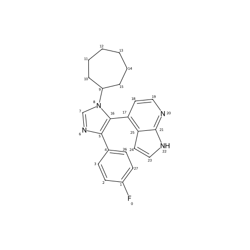 Fc1ccc(-c2ncn(C3CCCCCC3)c2-c2ccnc3[nH]ccc23)cc1